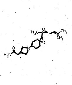 CC(C)=CC[C@H]1O[C@@]1(C)C1OC12CCC(N1CC(CC(N)=O)C1)CC2